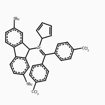 CC(C)(C)c1ccc2c(c1)[CH]([Zr](=[C](c1ccc(C(Cl)(Cl)Cl)cc1)c1ccc(C(Cl)(Cl)Cl)cc1)[CH]1C=CC=C1)c1cc(C(C)(C)C)ccc1-2